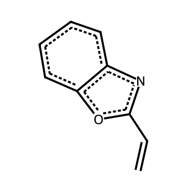 C=Cc1nc2ccccc2o1